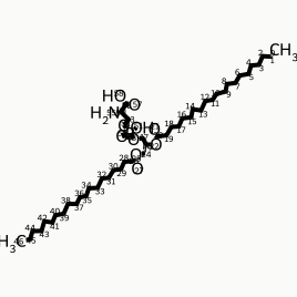 CCCCCCCCCCCCCCCCCCCCC(=O)O[C@H](COC(=O)CCCCCCCCCCCCCCCCCCC)COP(=O)(O)OC[C@H](N)C(=O)O